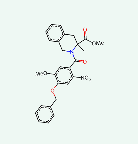 COC(=O)C1(C)Cc2ccccc2CN1C(=O)c1cc(OC)c(OCc2ccccc2)cc1[N+](=O)[O-]